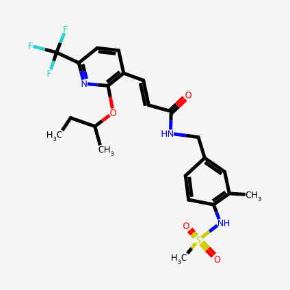 CCC(C)Oc1nc(C(F)(F)F)ccc1C=CC(=O)NCc1ccc(NS(C)(=O)=O)c(C)c1